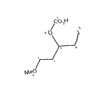 COCCC(CI)OC(=O)O